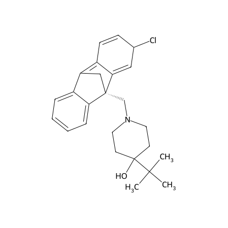 CC(C)(C)C1(O)CCN(C[C@]23CC(=C4C=CC(Cl)C=C42)c2ccccc23)CC1